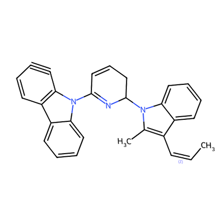 C/C=C\c1c(C)n(C2CC=CC(n3c4c#cccc4c4ccccc43)=N2)c2ccccc12